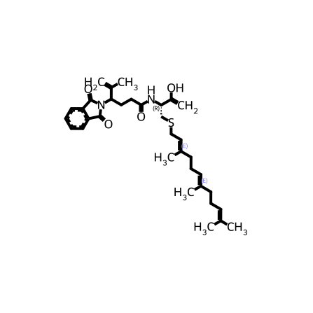 C=C(C)C(CCC(=O)N[C@@H](CSC/C=C(\C)CC/C=C(\C)CCC=C(C)C)C(=C)O)N1C(=O)c2ccccc2C1=O